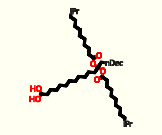 CCCCCCCCCCCC(CCCCCCCCCCCC(O)O)(OC(=O)CCCCCCCCCC(C)C)OC(=O)CCCCCCCCCC(C)C